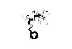 CC(COCc1ccccc1)OCC(C)(C)[SiH](C)C